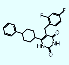 O=c1[nH]c(C2CCC(c3ccccc3)CC2)c(Cc2ccc(F)cc2F)c(=O)[nH]1